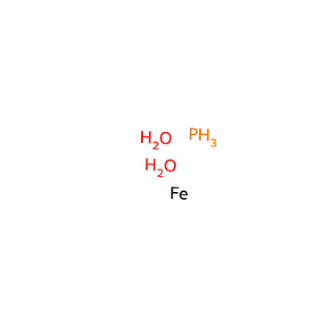 O.O.P.[Fe]